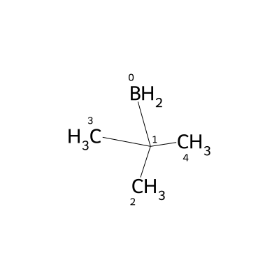 BC(C)(C)C